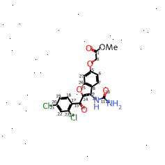 COC(=O)COc1ccc2c(NC(N)=O)c(C(=O)c3ccc(Cl)cc3Cl)oc2c1